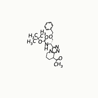 CC(=O)C1CCCn2c1nnc2[C@@H](COCc1ccccc1)NC(=O)OC(C)(C)C